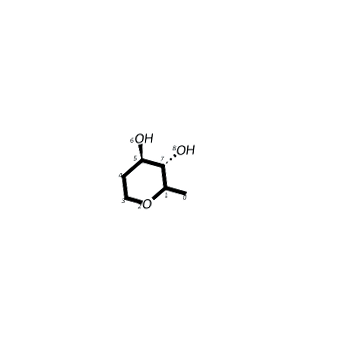 CC1OCC[C@@H](O)[C@@H]1O